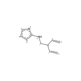 O=CC(C=O)CNc1nccs1